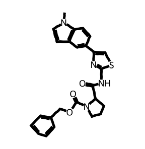 Cn1ccc2cc(-c3csc(NC(=O)C4CCCN4C(=O)OCc4ccccc4)n3)ccc21